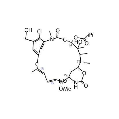 CO[C@@H]1/C=C/C=C(\C)Cc2cc(CO)c(Cl)c(c2)N(C)C(=O)C[C@H](OC(=O)C(C)C)C(C)(O)C(C)[C@H](C)C2C[C@@]1(O)NC(=O)O2